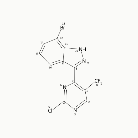 FC(F)(F)c1cnc(Cl)nc1-c1n[nH]c2c(Br)cccc12